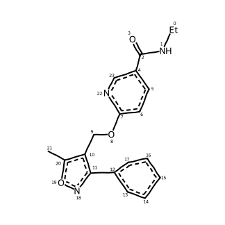 [CH2]CNC(=O)c1ccc(OCc2c(-c3ccccc3)noc2C)nc1